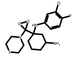 NC1CCCC(Nc2ccc(F)c(Cl)c2)(C2(N3CCSCC3)OO2)C1